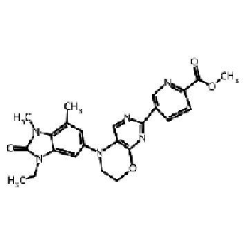 CCn1c(=O)n(C)c2c(C)cc(N3CCOc4nc(-c5ccc(C(=O)OC)nc5)ncc43)cc21